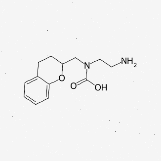 NCCN(CC1CCc2ccccc2O1)C(=O)O